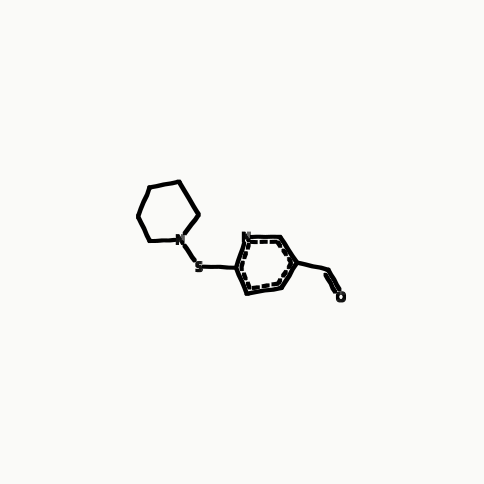 O=Cc1ccc(SN2CCCCC2)nc1